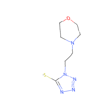 [S]c1nnnn1CCN1CCOCC1